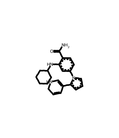 NC(=O)c1ccc(-n2cccc2C2=CNCC=C2)cc1NC1CCCCC1